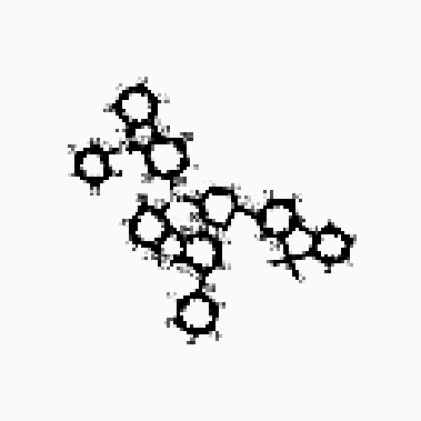 CC1(C)c2ccccc2-c2ccc(C3C=CC(N(c4ccc5c6ccccc6n(-c6ccccc6)c5c4)c4cccc5oc6c(-c7ccccc7)cccc6c45)=CC3)cc21